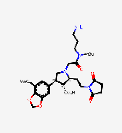 CCCCN(CCCN)C(=O)CN1C[C@H](c2cc(OC)c3c(c2)OCO3)[C@@H](C(=O)O)[C@@H]1CCN1C(=O)CCC1=O